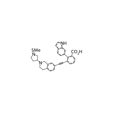 CSN1CCC(N2CCc3ccc(C#Cc4cccc(C(=O)O)c4-c4ccc5cc[nH]c5c4)cc3C2)C1